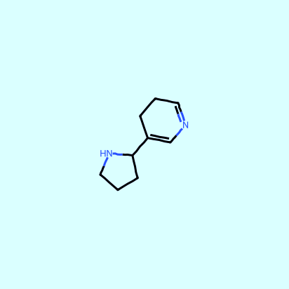 C1=NC=C(C2CCCN2)CC1